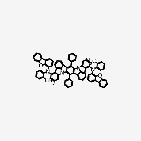 Cc1ccccc1N(c1cccc2c1oc1ccccc12)c1cccc2c1c1cccc3c4c(-c5ccccc5)c5c(c(-c6ccccc6)c4n2c13)c1cccc2c3c(N(c4ccccc4C)c4cccc6c4oc4ccccc46)cccc3n5c21